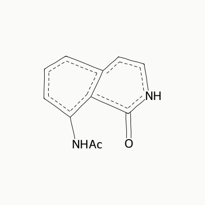 CC(=O)Nc1cccc2cc[nH]c(=O)c12